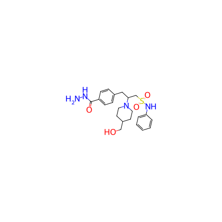 NNC(=O)c1ccc(CC(CS(=O)(=O)Nc2ccccc2)N2CCC(CO)CC2)cc1